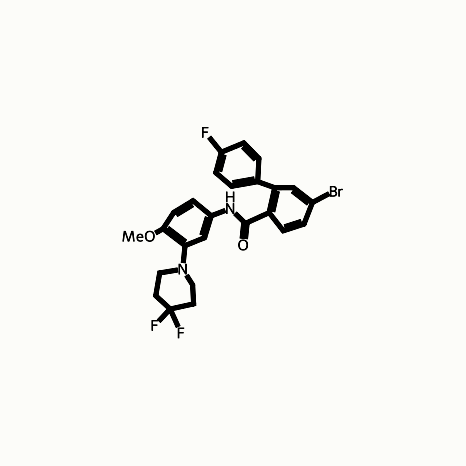 COc1ccc(NC(=O)c2ccc(Br)cc2-c2ccc(F)cc2)cc1N1CCC(F)(F)CC1